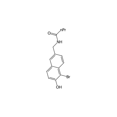 CCCC(=O)NCc1ccc2c(Br)c(O)ccc2c1